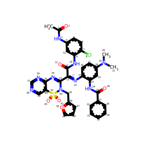 CC(=O)Nc1ccc(Cl)c(NC(=O)/C(=N\c2ccc(N(C)C)cc2NC(=O)c2ccccc2)C2=Nc3ncncc3S(=O)(=O)N2Cc2ccco2)c1